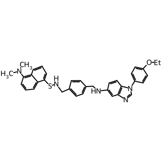 CCOc1ccc(-n2cnc3cc(NCc4ccc(CNSc5cccc6c(N(C)C)cccc56)cc4)ccc32)cc1